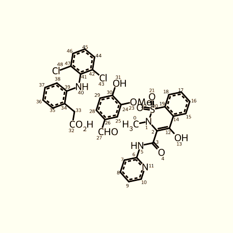 CN1C(C(=O)Nc2ccccn2)=C(O)c2ccccc2S1(=O)=O.COc1cc(C=O)ccc1O.O=C(O)Cc1ccccc1Nc1c(Cl)cccc1Cl